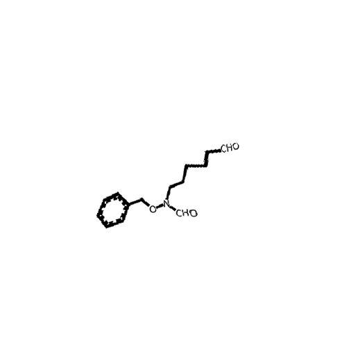 O=CCCCCCN(C=O)OCc1ccccc1